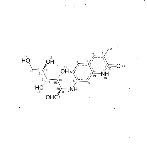 Cc1cc2ccc(N[C@@H](C=O)[C@@H](O)[C@H](O)[C@H](O)CO)cc2[nH]c1=O